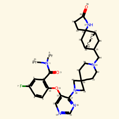 CC(C)N(C(=O)c1cc(F)ccc1Oc1cncnc1N1CC2(CCN(CC3CC4CCC3CC43CCC(=O)N3)CC2)C1)C(C)C